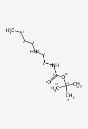 CSCCNCCNC(=O)OC(C)(C)C